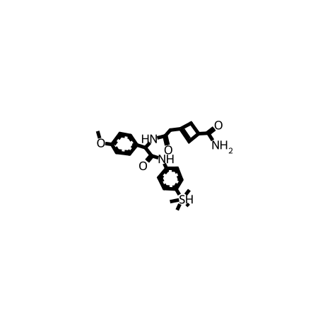 COc1ccc(C(NC(=O)CC2=CC(C(N)=O)C2)C(=O)Nc2ccc([SH](C)(C)(C)C)cc2)cc1